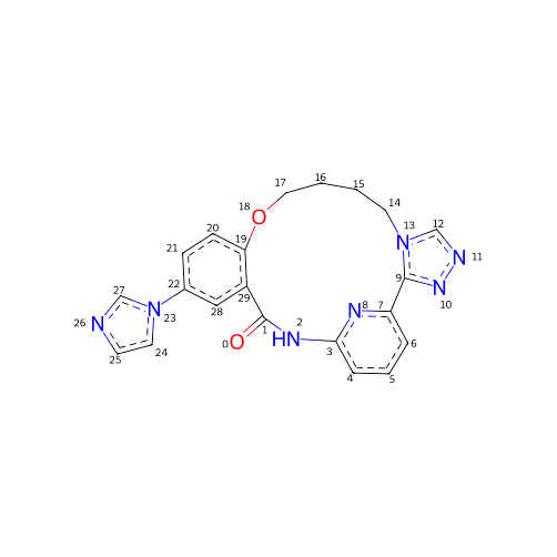 O=C1Nc2cccc(n2)-c2nncn2CCCCOc2ccc(-n3ccnc3)cc21